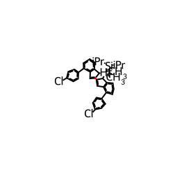 CC(C)[Si](C(C)C)=[Hf]([CH3])([CH3])([CH]1C=Cc2c(-c3ccc(Cl)cc3)cccc21)[CH]1C=Cc2c(-c3ccc(Cl)cc3)cccc21